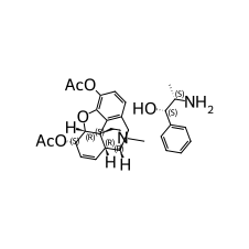 CC(=O)Oc1ccc2c3c1O[C@H]1[C@@H](OC(C)=O)C=C[C@H]4[C@@H](C2)N(C)CC[C@@]341.C[C@H](N)[C@@H](O)c1ccccc1